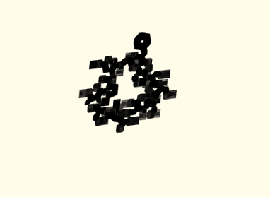 C[C@@H](O)[C@H](NC(=O)[C@H](CO)NC(=O)[C@@H](N)CCC(=O)O)C(=O)N1CCC[C@H]1C(=O)N[C@@H](CC(=O)O)C(=O)NCC(=O)N[C@@H](Cc1ccccc1)C(=O)N[C@@H](CO)C(=O)N[C@@H](CS)C(=O)N[C@@H](CO)C(=O)N[C@@H](CO)C(=O)N[C@@H](CO)C(=O)O